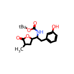 CC1CC(C(Cc2cccc(O)c2)NC(=O)OC(C)(C)C)OC1=O